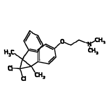 CN(C)CCOc1ccc(C2(C)C(Cl)(Cl)C2(C)c2ccccc2)cc1